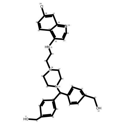 OCc1ccc(C(c2ccc(CO)cc2)N2CCN(CCNc3ccnc4cc(Cl)ccc34)CC2)cc1